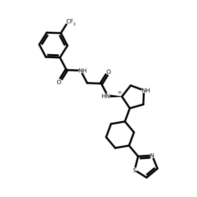 O=C(CNC(=O)c1cccc(C(F)(F)F)c1)N[C@H]1CNCC1C1CCCC(c2nccs2)C1